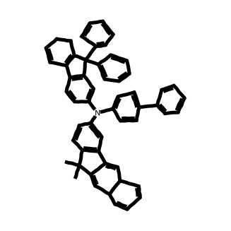 CC1(C)C2=CC3C=CC=CC3C=C2c2cc(N(c3ccc(-c4ccccc4)cc3)c3ccc4c(c3)C(c3ccccc3)(c3ccccc3)C3=C4C=CCC3)ccc21